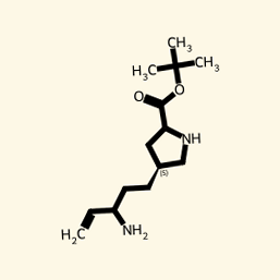 C=CC(N)CC[C@@H]1CNC(C(=O)OC(C)(C)C)C1